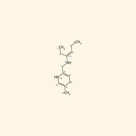 CC/C=C(\CC)NCC1=CCC(C)=CN1